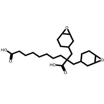 O=C(O)CCCCCCCC(CC1CCC2OC2C1)(CC1CCC2OC2C1)C(=O)O